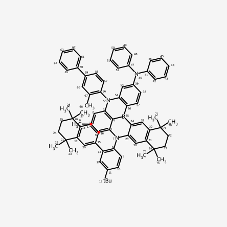 Cc1cc2c3c(c1)N(c1ccc(C(C)(C)C)cc1-c1ccc4c(c1)C(C)(C)CCC4(C)C)c1cc4c(cc1B3c1ccc(N(c3ccccc3)c3ccccc3)cc1N2c1ccc(-c2ccccc2)cc1C)C(C)(C)CCC4(C)C